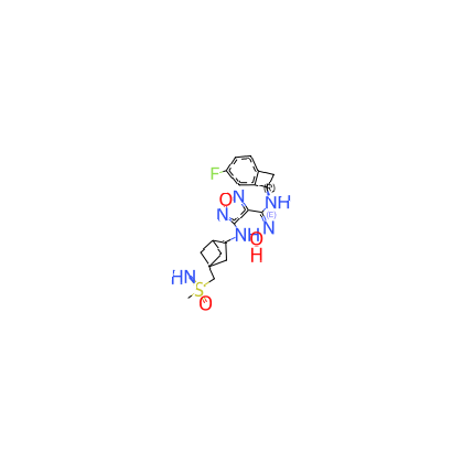 CS(=N)(=O)CC12CC(C1)C(Nc1nonc1/C(=N\O)N[C@@H]1Cc3ccc(F)cc31)C2